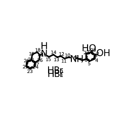 Br.Br.Oc1ccc(CCNCCCCCCNC2CCc3ccccc3C2)cc1O